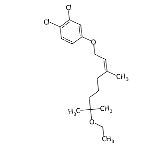 CCOC(C)(C)CCCC(C)=CCOc1ccc(Cl)c(Cl)c1